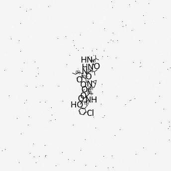 CC[C@H](C)C([C@@H](CC(=O)N1C2CC2C[C@H]1[C@H](OC)[C@@H](C)C(=O)N[C@@H](Cc1ccccc1Cl)C(=O)O)OC)N(C)C(=O)[C@@H](NC(=O)[C@@H](NC)C(C)C)C(C)C